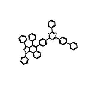 c1ccc(-c2ccc(-c3nc(-c4ccccc4)nc(-c4ccc(-c5c(-c6ccccc6)c6c(-c7ccccc7)nn(-c7ccccc7)c6c6ccccc56)cc4)n3)cc2)cc1